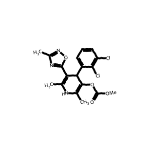 COC(=O)OC1=C(C)NC(C)=C(c2nc(C)no2)C1c1cccc(Cl)c1Cl